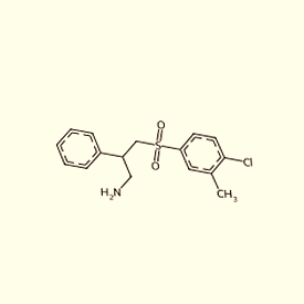 Cc1cc(S(=O)(=O)CC(CN)c2ccccc2)ccc1Cl